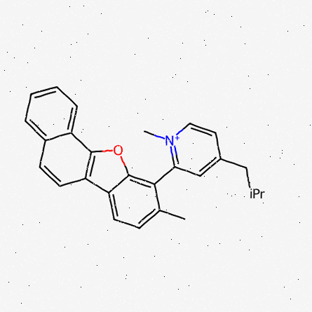 Cc1ccc2c(oc3c4ccccc4ccc23)c1-c1cc(CC(C)C)cc[n+]1C